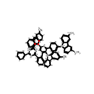 Cc1ccc2c(c1)c1cc(C)ccc1n2-c1ccc(-c2nc(-n3c4ccccc4c4cc(C#N)ccc43)cc(-c3ccccc3-c3nc(-c4ccccc4)nc(-c4ccccc4)n3)c2-n2c3ccccc3c3cc(C#N)ccc32)cc1